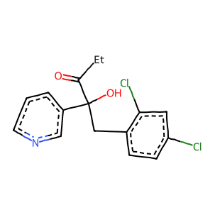 CCC(=O)C(O)(Cc1ccc(Cl)cc1Cl)c1cccnc1